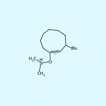 C[SiH](C)O/C1=C/C(C(C)(C)C)CCCCCC1